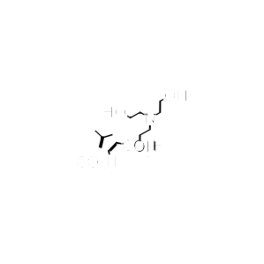 C=C(C)C.O=C(O)/C=C\C(=O)O.OCCN(CCO)CCO